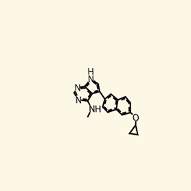 CNc1ncnc2[nH]cc(-c3ccc4cc(OC5CC5)ccc4c3)c12